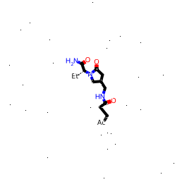 CC[C@H](C(N)=O)N1CC(CNC(=O)CCC(C)=O)CC1=O